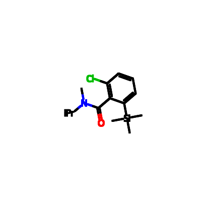 CC(C)N(C)C(=O)c1c(Cl)cccc1[Si](C)(C)C